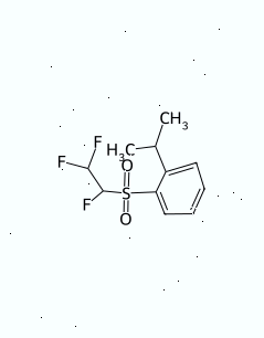 CC(C)c1ccccc1S(=O)(=O)C(F)C(F)F